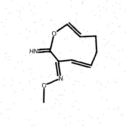 CO/N=C1/C=C/CC/C=C/OC1=N